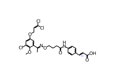 COc1c(Cl)cc(OCC=C(Cl)Cl)cc1C(C)=NOCCCC(=O)Nc1ccc(/C=C/C(=O)O)cc1